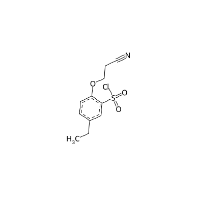 CCc1ccc(OCCC#N)c(S(=O)(=O)Cl)c1